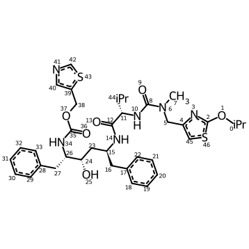 CC(C)Oc1nc(CN(C)C(=O)N[C@H](C(=O)N[C@@H](Cc2ccccc2)C[C@H](O)[C@H](Cc2ccccc2)NC(=O)OCc2cncs2)C(C)C)cs1